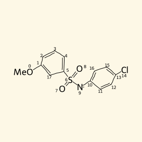 COc1cccc(S(=O)(=O)[N]c2ccc(Cl)cc2)c1